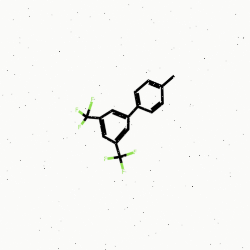 Cc1ccc(-c2cc(C(F)(F)F)cc(C(F)(F)F)c2)cc1